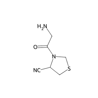 N#CC1CSCN1C(=O)CN